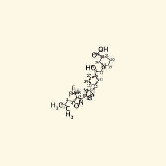 CC(C)Cc1onc(-c2nc(-c3ccc(C(O)CN4CCC[C@H](C(=O)O)C4)cc3)no2)c1C(F)(F)F